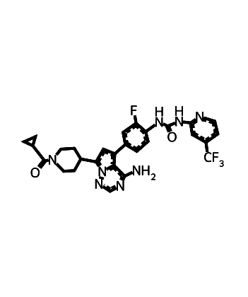 Nc1ncnn2c(C3CCN(C(=O)C4CC4)CC3)cc(-c3ccc(NC(=O)Nc4cc(C(F)(F)F)ccn4)c(F)c3)c12